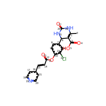 CC1=C(C(=O)O)C(c2ccc(OC(=O)C=Cc3ccncc3)c(Cl)c2)NC(=O)N1